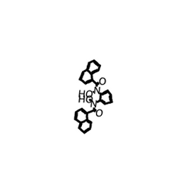 O=C(c1cccc2ccccc12)N(O)c1ccccc1N(O)C(=O)c1cccc2ccccc12